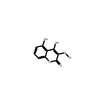 CCOc1c(O)c2c(O)cccc2oc1=O